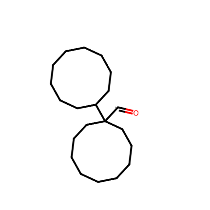 O=[C]C1(C2CCCCCCCCC2)CCCCCCCCC1